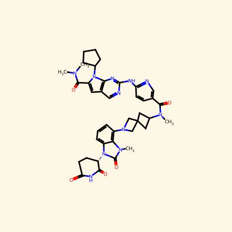 CN(C)C(=O)c1cc2cnc(Nc3ccc(C(=O)N(C)C4CC5(C4)CN(c4cccc6c4n(C)c(=O)n6[C@H]4CCC(=O)NC4=O)C5)cn3)nc2n1C1CCCC1